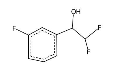 OC(c1cccc(F)c1)C(F)F